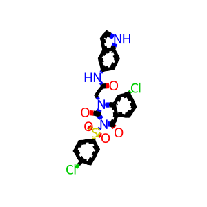 O=C(Cn1c(=O)n(S(=O)(=O)c2ccc(Cl)cc2)c(=O)c2ccc(Cl)cc21)Nc1ccc2[nH]ccc2c1